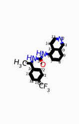 CC(NC(=O)Nc1cccc2cnccc12)c1ccc(C(F)(F)F)cc1